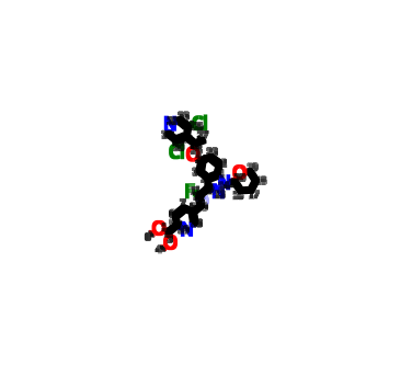 COC(OC)c1ccc(/C=C(\F)c2nn(C3CCCCO3)c3ccc(OC(C)c4c(Cl)cncc4Cl)cc23)cn1